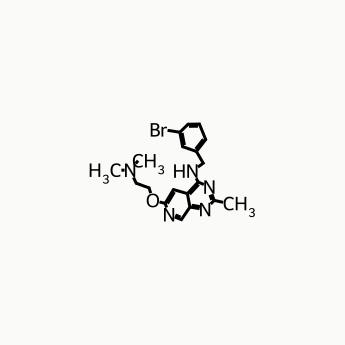 Cc1nc(NCc2cccc(Br)c2)c2cc(OCCN(C)C)ncc2n1